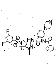 CN1CCN(c2ccc(C(=O)Nc3n[nH]c4c3CN(S(=O)(=O)c3cc(F)cc(F)c3)C4(C)C)c(NC(=O)[C@H]3CCCO3)c2)CC1